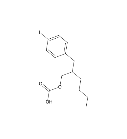 CCCCC(COC(=O)O)Cc1ccc(I)cc1